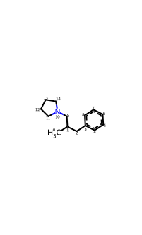 CC(Cc1ccccc1)CN1CCCC1